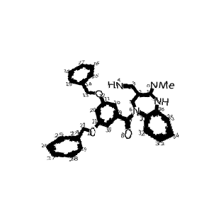 CNC1=C(C=N)CN(C(=O)c2cc(OCc3ccccc3)cc(OCc3ccccc3)c2)c2ccccc2N1